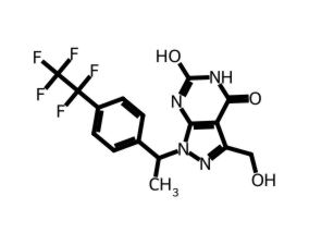 CC(c1ccc(C(F)(F)C(F)(F)F)cc1)n1nc(CO)c2c(=O)[nH]c(O)nc21